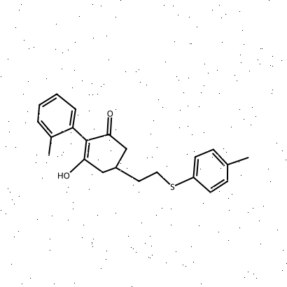 Cc1ccc(SCCC2CC(=O)C(c3ccccc3C)=C(O)C2)cc1